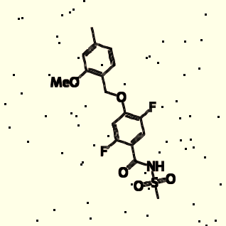 COc1cc(C)ccc1COc1cc(F)c(C(=O)NS(C)(=O)=O)cc1F